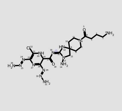 NCCCC(=O)N1CCC2(CC1)CN(N)/C(=N\C(=O)C1NC(Cl)=C(N=NN)N=C1N=NN)N2